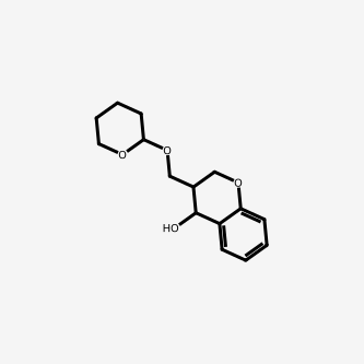 OC1c2ccccc2OCC1COC1CCCCO1